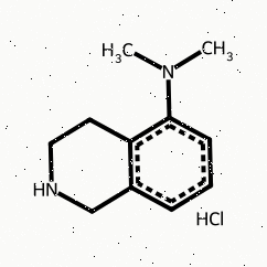 CN(C)c1cccc2c1CCNC2.Cl